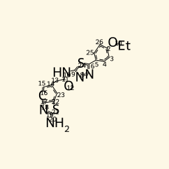 CCOc1ccc(-c2nnc(NC(=O)Cc3ccc4nc(N)sc4c3)s2)cc1